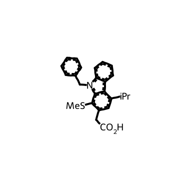 CSc1c(CC(=O)O)cc(C(C)C)c2c3ccccc3n(Cc3ccccc3)c12